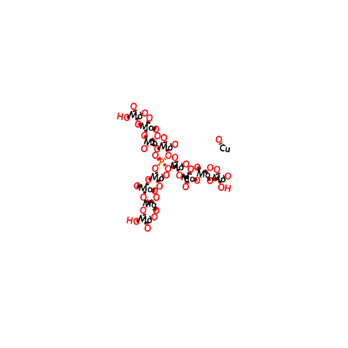 O=P([O][Mo](=[O])(=[O])[O][Mo](=[O])(=[O])[O][Mo](=[O])(=[O])[O][Mo](=[O])(=[O])[OH])([O][Mo](=[O])(=[O])[O][Mo](=[O])(=[O])[O][Mo](=[O])(=[O])[O][Mo](=[O])(=[O])[OH])[O][Mo](=[O])(=[O])[O][Mo](=[O])(=[O])[O][Mo](=[O])(=[O])[O][Mo](=[O])(=[O])[OH].[O]=[Cu]